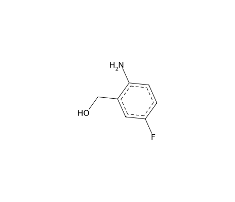 Nc1ccc(F)cc1CO